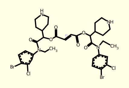 CCN(C(=O)C(OC(=O)/C=C/C(=O)OC(C(=O)N(CC)c1ccc(Br)c(Cl)c1)C1CCNCC1)C1CCNCC1)c1ccc(Br)c(Cl)c1